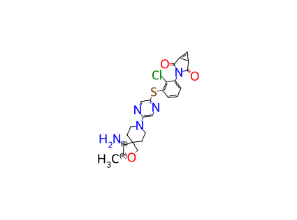 C[C@H]1OCC2(CCN(c3cnc(Sc4cccc(N5C(=O)C6=CC6C5=O)c4Cl)cn3)CC2)[C@H]1N